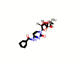 CC[C@]12O[C@@H](n3ccc(NC(=O)c4ccccc4)nc3=O)[C@H](O[C@@H]1C)[C@@H]2O[Si](C)(C)C(C)(C)C